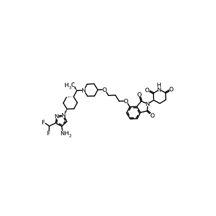 C[C@H]([C@H]1CC[C@H](n2cc(N)c(C(F)F)n2)CC1)N1CCC(OCCCOc2cccc3c2C(=O)N(C2CCC(=O)NC2=O)C3=O)CC1